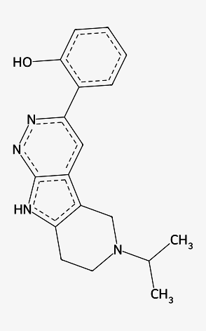 CC(C)N1CCc2[nH]c3nnc(-c4ccccc4O)cc3c2C1